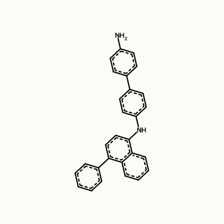 Nc1ccc(-c2ccc(Nc3ccc(-c4ccccc4)c4ccccc34)cc2)cc1